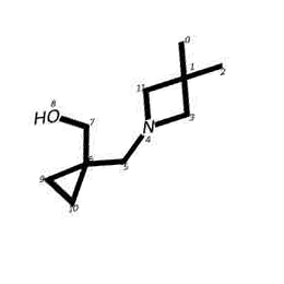 CC1(C)CN(CC2(CO)CC2)C1